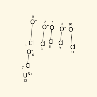 [O-]Cl.[O-]Cl.[O-]Cl.[O-]Cl.[O-]Cl.[O-]Cl.[U+6]